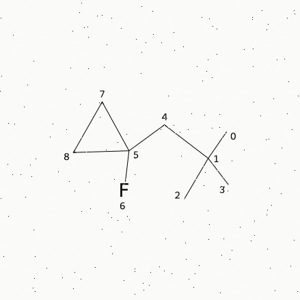 CC(C)(C)CC1(F)CC1